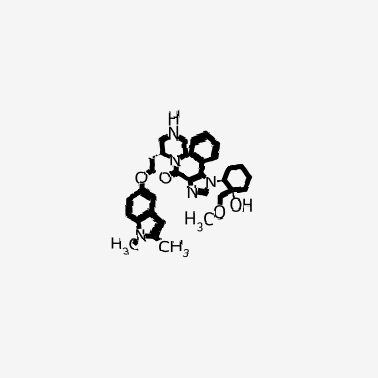 COC[C@]1(O)CCCC[C@H]1n1cnc(C(=O)N2CCNC[C@H]2CCOc2ccc3c(c2)cc(C)n3C)c1-c1ccccc1